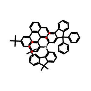 CC(C)(C)c1cc(-c2cccc3cccc(-c4ccccc4N(c4ccc5c(c4)C(c4ccccc4)(c4ccccc4)c4ccccc4-5)c4cccc5c4-c4ccccc4C5(C)C)c23)cc(C(C)(C)C)c1